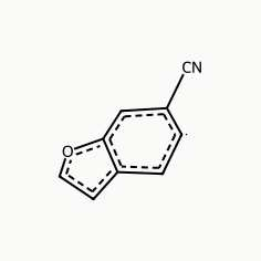 N#Cc1[c]cc2ccoc2c1